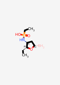 B[C@H]1C[C@@H](NP(=O)(O)CC)[C@@H](CC)O1